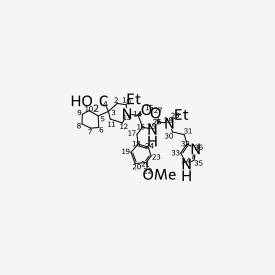 CCC1CC(C(=O)O)(C2CCCCC2)CCN1C(=O)C(Cc1ccc(OC)cc1)NC(=O)N(CC)CCc1c[nH]cn1